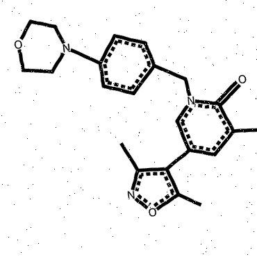 Cc1noc(C)c1-c1cc(C)c(=O)n(Cc2ccc(N3CCOCC3)cc2)c1